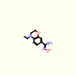 CCN1CCOc2cc(/C(N)=N/O)ccc21